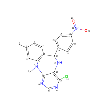 Cc1ccc2c(c1)N(C)c1ncnc(Cl)c1NC2c1ccc([N+](=O)[O-])cc1